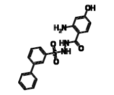 Nc1cc(O)ccc1C(=O)NNS(=O)(=O)c1cccc(-c2ccccc2)c1